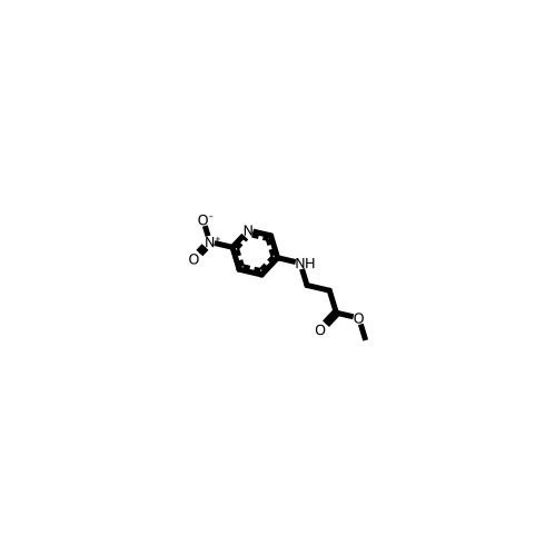 COC(=O)CCNc1ccc([N+](=O)[O-])nc1